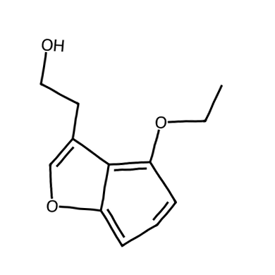 CCOc1cccc2occ(CCO)c12